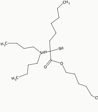 CCCCCCOC(=O)[C](S)(CCCCCC)[SnH]([CH2]CCC)[CH2]CCC